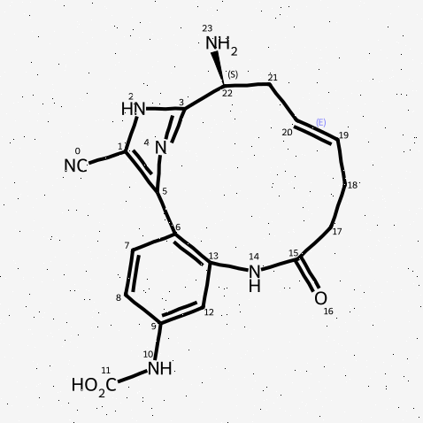 N#Cc1[nH]c2nc1-c1ccc(NC(=O)O)cc1NC(=O)CC/C=C/C[C@@H]2N